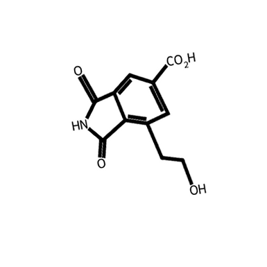 O=C(O)c1cc(CCO)c2c(c1)C(=O)NC2=O